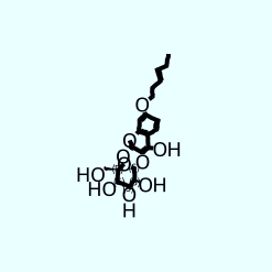 CCC=CCCOc1ccc2c(O)c(O[C@@H]3O[C@H](CO)[C@@H](O)[C@H](O)[C@@H]3O)c(=O)oc2c1